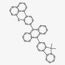 CC1(C)c2ccccc2-c2ccc(-c3c4ccccc4c(-c4ccc5c(c4)Sc4cccc6cccc-5c46)c4ccccc34)cc21